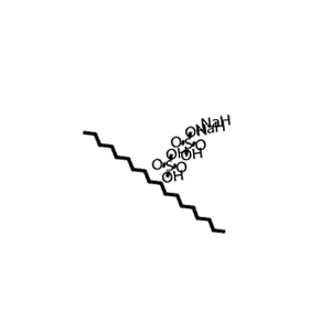 CCCCCCCCCCCCCCCCCC.O=S(=O)(O)O.O=S(=O)(O)O.[NaH].[NaH]